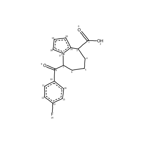 O=C(O)C1CCCC(C(=O)c2ccc(F)cc2)n2cccc21